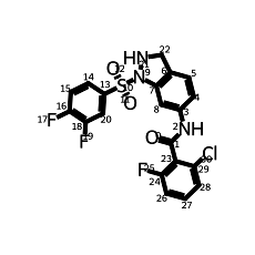 O=C(Nc1ccc2c(c1)N(S(=O)(=O)c1ccc(F)c(F)c1)NC2)c1c(F)cccc1Cl